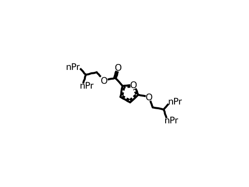 CCCC(CCC)COC(=O)c1ccc(OCC(CCC)CCC)o1